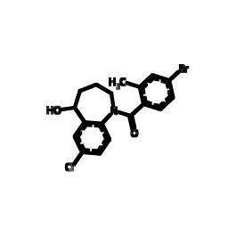 Cc1cc(Br)ccc1C(=O)N1CCCC(O)c2cc(Cl)ccc21